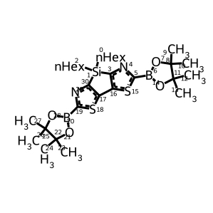 CCCCCC[Si]1(CCCCCC)c2nc(B3OC(C)(C)C(C)(C)O3)sc2-c2sc(B3OC(C)(C)C(C)(C)O3)nc21